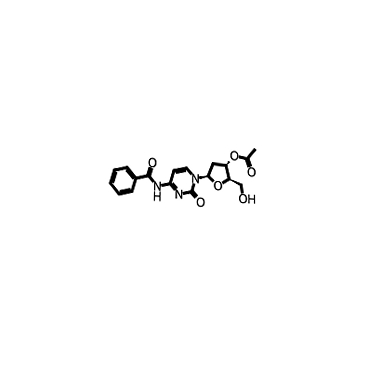 CC(=O)O[C@H]1C[C@H](n2ccc(NC(=O)c3ccccc3)nc2=O)O[C@@H]1CO